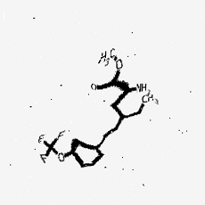 CCC(CCc1cccc(OC(F)(F)F)c1)CC(N)C(=O)OC